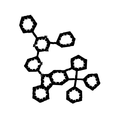 c1ccc(-c2nc(-c3ccccc3)nc(-c3cccc(-n4c5ccccc5c5cc6c(cc54)-c4ccccc4C6(c4ccccc4)c4ccccc4)n3)n2)cc1